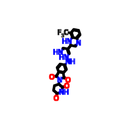 N=C/C(=C\NNc1ccc2c(c1)C(=O)N(C1CCC(=O)NC1=O)C2=O)C1C=Nc2cccc(C(F)(F)F)c2N1